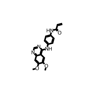 C=CC(=O)Nc1ccc(Nc2ncnc3cc(OC)c(OC)cc23)cc1